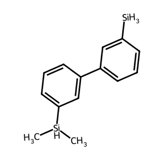 C[SiH](C)c1cccc(-c2cccc([SiH3])c2)c1